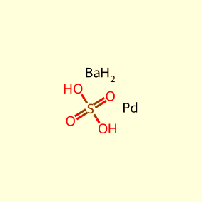 O=S(=O)(O)O.[BaH2].[Pd]